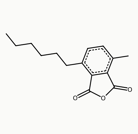 CCCCCCc1ccc(C)c2c1C(=O)OC2=O